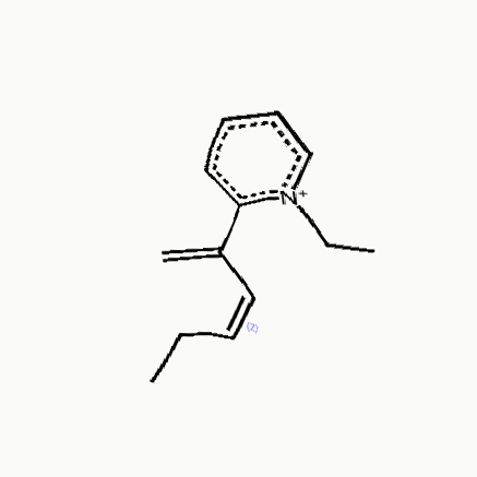 C=C(/C=C\CC)c1cccc[n+]1CC